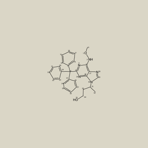 CONc1nc(C(c2ccccc2)(c2ccccc2)c2ccccc2)nc2c1ncn2C(C)CCO